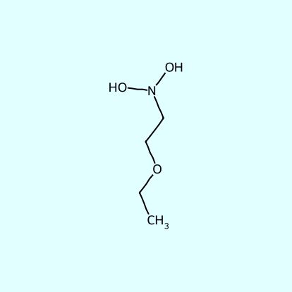 CCOCCN(O)O